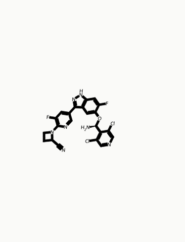 N#CC1CCN1c1ncc(-c2n[nH]c3cc(F)c(O[C@H](N)c4c(Cl)cncc4Cl)cc23)cc1F